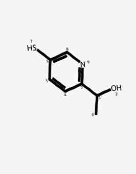 CC(O)c1ccc(S)cn1